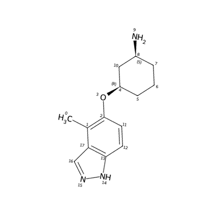 Cc1c(O[C@@H]2CCC[C@H](N)C2)ccc2[nH]ncc12